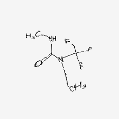 CCN(C(=O)NC)C(F)(F)F